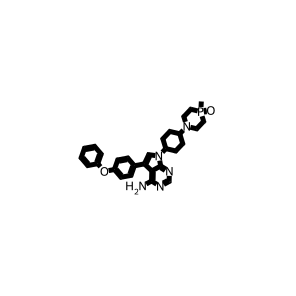 CP1(=O)CCN(C2CCC(n3cc(-c4ccc(Oc5ccccc5)cc4)c4c(N)ncnc43)CC2)CC1